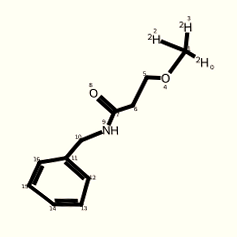 [2H]C([2H])([2H])OCCC(=O)NCc1ccccc1